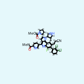 CNC(=O)c1ccc(-c2nc3c(F)c(-c4cccc(Cl)c4Cl)c(CCC#N)cc3c3c2cc([C@H]2CCCN2C(=O)OC)n3[C@@H]2CNC[C@H]2C)cn1